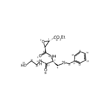 CCOC(=O)[C@H]1O[C@@H]1C(=O)N[C@@H](CSCc1ccccc1)C(=O)NCCO